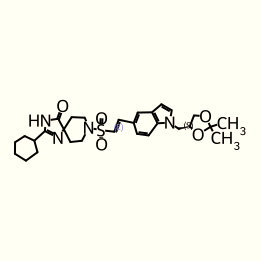 CC1(C)OC[C@H](Cn2ccc3cc(/C=C/S(=O)(=O)N4CCC5(CC4)N=C(C4CCCCC4)NC5=O)ccc32)O1